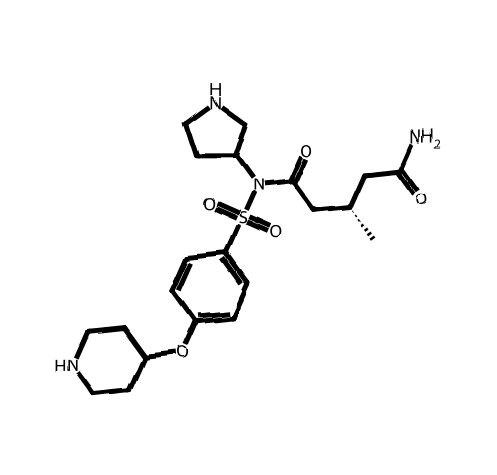 C[C@@H](CC(N)=O)CC(=O)N(C1CCNC1)S(=O)(=O)c1ccc(OC2CCNCC2)cc1